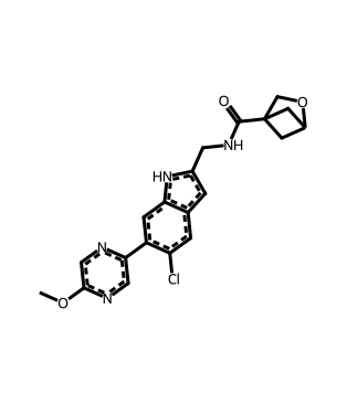 COc1cnc(-c2cc3[nH]c(CNC(=O)C45COC(C4)C5)cc3cc2Cl)cn1